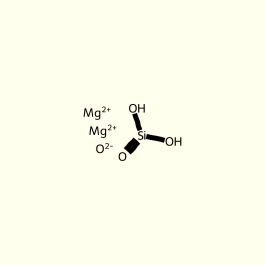 O=[Si](O)O.[Mg+2].[Mg+2].[O-2]